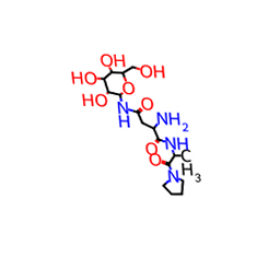 CC(NC(=O)C(N)CC(=O)NC1OC(CO)C(O)C(O)C1O)C(=O)N1CCCC1